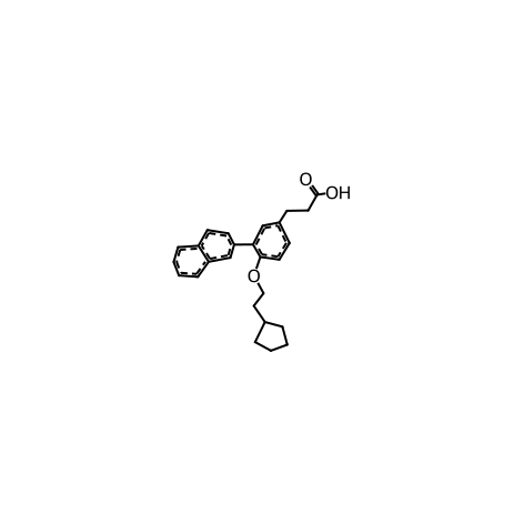 O=C(O)CCc1ccc(OCCC2CCCC2)c(-c2ccc3ccccc3c2)c1